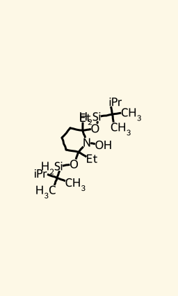 CCC1(O[SiH2]C(C)(C)C(C)C)CCCC(CC)(O[SiH2]C(C)(C)C(C)C)N1O